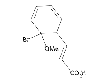 COC1(Br)C=CC=CC1/C=C/C(=O)O